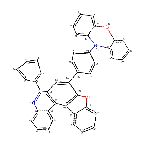 c1ccc(-c2nc3ccccc3c3c2cc(-c2ccc(N4c5ccccc5Oc5ccccc54)cc2)c2oc4ccccc4c23)cc1